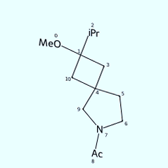 COC1(C(C)C)CC2(CCN(C(C)=O)C2)C1